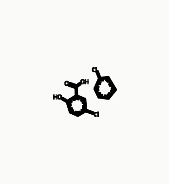 Clc1ccccc1.O=C(O)c1cc(Cl)ccc1O